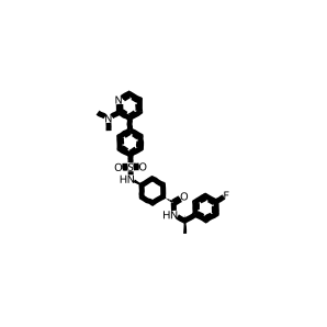 C[C@@H](NC(=O)[C@H]1CC[C@H](NS(=O)(=O)c2ccc(-c3cccnc3N(C)C)cc2)CC1)c1ccc(F)cc1